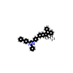 CC1(C)c2cc3cc(-c4ccc(-c5cc(-c6ccc(-c7ccccc7)cc6)nc(-c6ccccc6)n5)cc4)ccc3cc2-c2c1c1ccccc1c1ccccc21